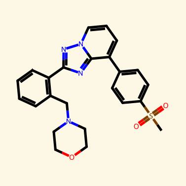 CS(=O)(=O)c1ccc(-c2cccn3nc(-c4[c]cccc4CN4CCOCC4)nc23)cc1